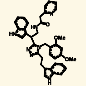 COc1ccc(Cn2c(CCc3c[nH]c4ccccc34)nnc2C(CNC(=O)Cc2ccccn2)c2c[nH]c3ccccc23)c(OC)c1